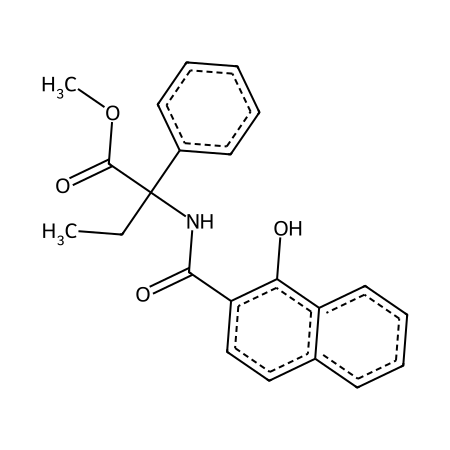 CCC(NC(=O)c1ccc2ccccc2c1O)(C(=O)OC)c1ccccc1